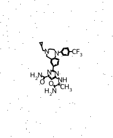 C[C@H](Nc1cc(C(N)=O)nc(-c2ccc3c(c2)CN(CC2CC2)CCN3c2ccc(C(F)(F)F)cc2)n1)C(N)=O